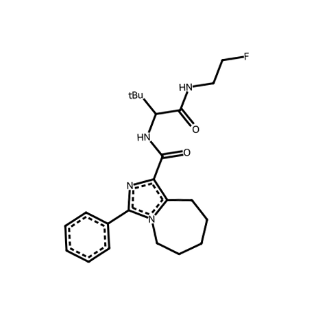 CC(C)(C)C(NC(=O)c1nc(-c2ccccc2)n2c1CCCCC2)C(=O)NCCF